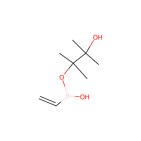 C=CB(O)OC(C)(C)C(C)(C)O